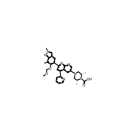 COCOc1c(-c2cc(-c3ccccn3)c3cc(N4C[C@@H](C)N(C(=O)O)[C@@H](C)C4)cnc3n2)cc2cn(C)nc2c1C